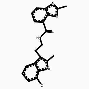 Cc1nc2cccc(C(=O)NCCc3c(C)[nH]c4c(Cl)cccc34)c2o1